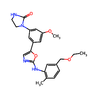 CCOCc1ccc(C)c(Nc2ncc(-c3cc(OC)cc(N4CCNC4=O)c3)o2)c1